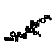 COc1ccccc1NC(=O)Cn1cc(-c2cnc3c(Nc4cc(CN5CCCC(C)C5)ns4)nc(C)cn23)cn1